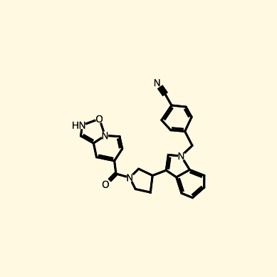 N#Cc1ccc(Cn2cc(C3CCN(C(=O)C4=CC5=CNON5C=C4)C3)c3ccccc32)cc1